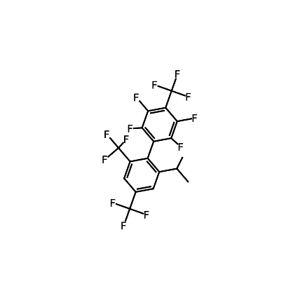 CC(C)c1cc(C(F)(F)F)cc(C(F)(F)F)c1-c1c(F)c(F)c(C(F)(F)F)c(F)c1F